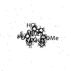 COc1cc(-c2cccc(-c3cccc(-c4nc5cc(CN6CCC[C@H]6C(=O)O)c(OC(F)F)cc5o4)c3C)c2C)cc(OC)c1CN1CCCC1.Cl